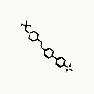 CC(F)(I)CN1CCC(COc2ccc(-c3ccc(S(C)(=O)=O)cc3)cc2)CC1